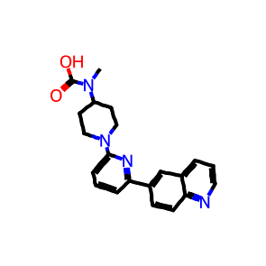 CN(C(=O)O)C1CCN(c2cccc(-c3ccc4ncccc4c3)n2)CC1